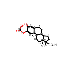 CCC[C@]1(C(=O)O)CCC2C3CCC4=CC(=O)C(OC([O])O)=C[C@]4(C)C3CC[C@@]21C